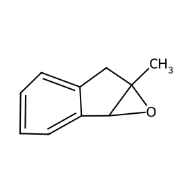 CC12Cc3ccccc3C1O2